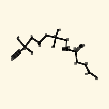 C#CC(C)(C)COCC(C)(C)CNC(=O)CCSC